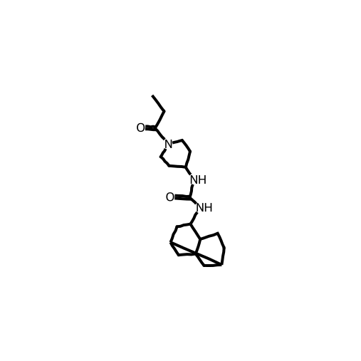 CCC(=O)N1CCC(NC(=O)NC2CC3CC4CC3CCC42)CC1